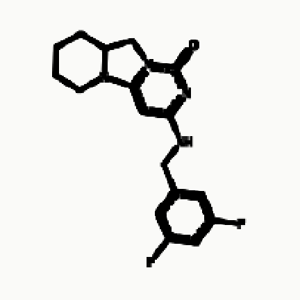 O=c1nc(NCc2cc(F)cc(F)c2)cc2n1CC1CCCCN21